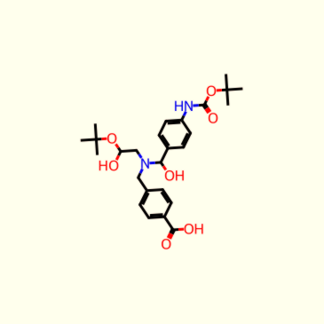 CC(C)(C)OC(=O)Nc1ccc(C(O)N(Cc2ccc(C(=O)O)cc2)CC(O)OC(C)(C)C)cc1